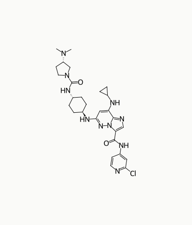 CN(C)[C@H]1CCN(C(=O)N[C@H]2CC[C@H](Nc3cc(NC4CC4)c4ncc(C(=O)Nc5ccnc(Cl)c5)n4n3)CC2)C1